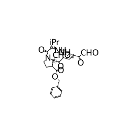 CC(C)[C@H](N)C(=O)N1CCC(C(=O)OCc2ccccc2)[C@]1([C]=O)C(=O)C(N)CCC(=O)C=O